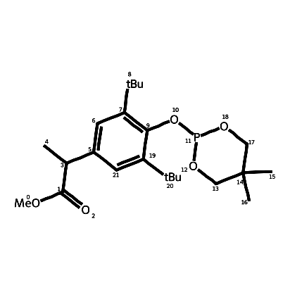 COC(=O)C(C)c1cc(C(C)(C)C)c(OP2OCC(C)(C)CO2)c(C(C)(C)C)c1